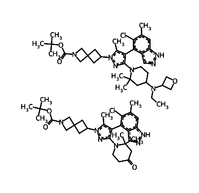 CCN(C1COC1)C1CCN(c2nn(C3CC4(C3)CN(C(=O)OC(C)(C)C)C4)c(C)c2-c2c(Cl)c(C)cc3[nH]ncc23)C(C)(C)C1.Cc1cc2[nH]ncc2c(-c2c(N3CCC(=O)CC3(C)C)nn(C3CC4(C3)CN(C(=O)OC(C)(C)C)C4)c2C)c1Cl